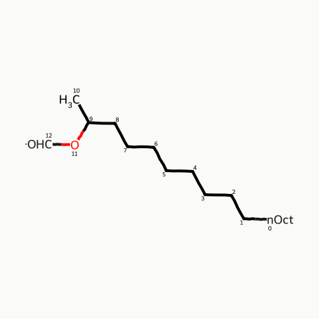 CCCCCCCCCCCCCCCCC(C)O[C]=O